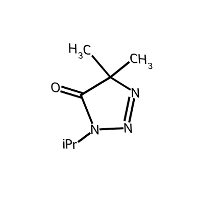 CC(C)N1N=NC(C)(C)C1=O